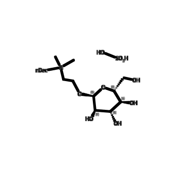 CCCCCCCCCC[Si](C)(C)CCO[C@H]1O[C@H](CO)[C@@H](O)[C@H](O)[C@H]1O.O=S(=O)(O)O